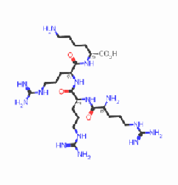 N=C(N)NCCC[C@H](NC(=O)[C@H](CCCNC(=N)N)NC(=O)[C@@H](N)CCCNC(=N)N)C(=O)N[C@@H](CCCCN)C(=O)O